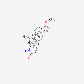 COC(=O)C1CC[C@H]2[C@@H]3C(C)CC4NC(=O)C=C[C@]4(C)[C@@H]3CC[C@]12C